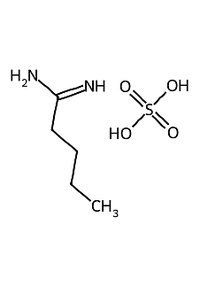 CCCCC(=N)N.O=S(=O)(O)O